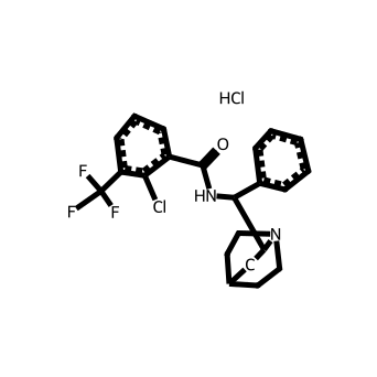 Cl.O=C(NC(c1ccccc1)C1CC2CCN1CC2)c1cccc(C(F)(F)F)c1Cl